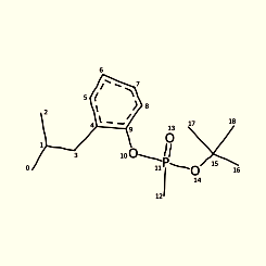 CC(C)Cc1ccccc1OP(C)(=O)OC(C)(C)C